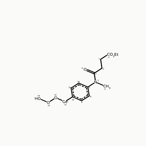 CCOC(=O)CCC(=O)N(C)c1cc[c]([Ge][O]OO)cc1